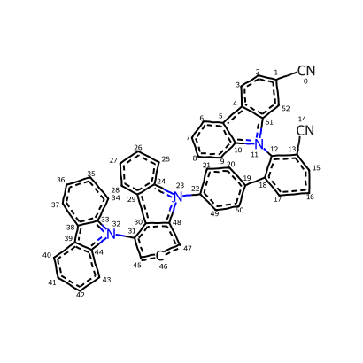 N#Cc1ccc2c3ccccc3n(-c3c(C#N)cccc3-c3ccc(-n4c5ccccc5c5c(-n6c7ccccc7c7ccccc76)cccc54)cc3)c2c1